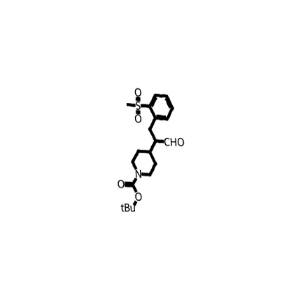 CC(C)(C)OC(=O)N1CCC(C(C=O)Cc2ccccc2S(C)(=O)=O)CC1